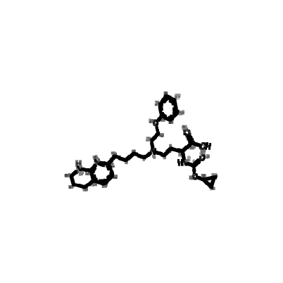 O=C(NC(CCN(CCCCc1ccc2c(n1)NCCC2)CCOc1ccccc1)C(=O)O)OC1CC1